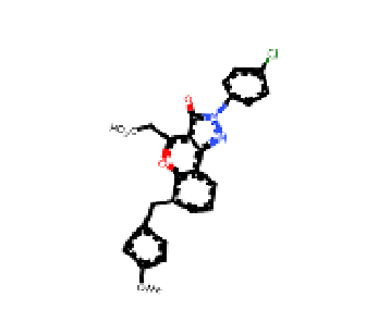 COc1ccc(Cc2cccc3c4nn(-c5ccc(Cl)cc5)c(=O)c-4c(CC(=O)O)oc23)cc1